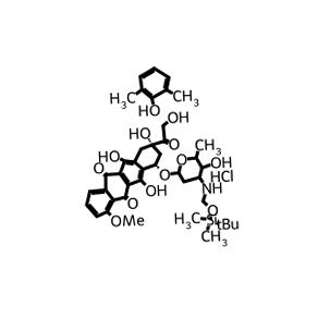 COc1cccc2c1C(=O)c1c(O)c3c(c(O)c1C2=O)C[C@@](O)(C(=O)CO)C[C@@H]3OC1CC(NCO[Si](C)(C)C(C)(C)C)C(O)C(C)O1.Cc1cccc(C)c1O.Cl